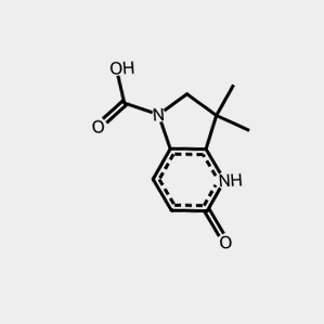 CC1(C)CN(C(=O)O)c2ccc(=O)[nH]c21